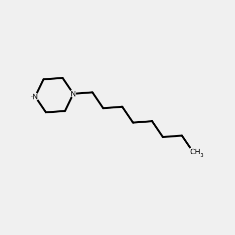 CCCCCCCCN1CC[N]CC1